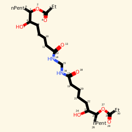 CCCCCC(OC(=O)CC)C(O)CCCCC(=O)NCNC(=O)CCCCC(O)C(CCCCC)OC(=O)CC